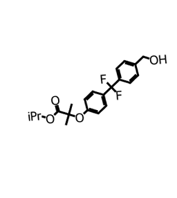 CC(C)OC(=O)C(C)(C)Oc1ccc(C(F)(F)c2ccc(CO)cc2)cc1